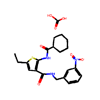 CCc1cc(C(=O)NCc2cccc([N+](=O)[O-])c2)c(NC(=O)C2CCCCC2)s1.O=C(O)O